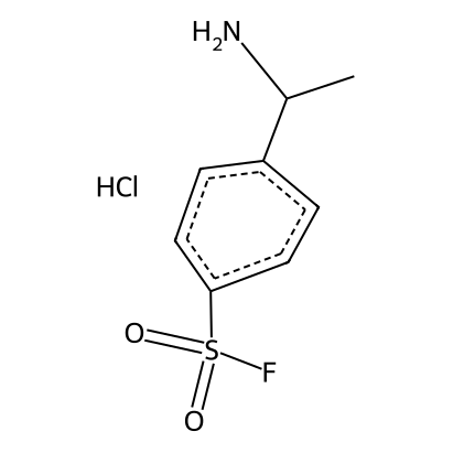 CC(N)c1ccc(S(=O)(=O)F)cc1.Cl